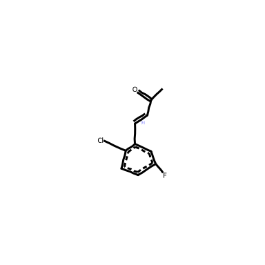 CC(=O)/C=C/c1cc(F)ccc1Cl